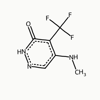 CNc1cn[nH]c(=O)c1C(F)(F)F